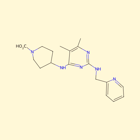 Cc1nc(NCc2ccccn2)nc(NC2CCN(C(=O)O)CC2)c1C